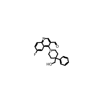 O=Cc1cnc2ccc(F)cc2c1N1CCC(CO)(c2ccccc2)CC1